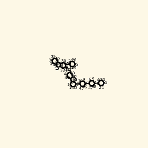 c1ccc(-c2ccc(-c3ccc(-c4cccc5c4sc4cc(-n6c7ccccc7c7cc8c(cc76)sc6ccccc68)ccc45)cc3)cc2)cc1